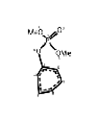 COP(=O)(OC)Oc1ccccc1